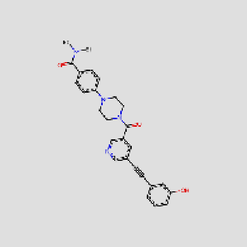 CCN(CC)C(=O)c1ccc(N2CCN(C(=O)c3cncc(C#Cc4cccc(O)c4)c3)CC2)cc1